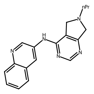 CCCN1Cc2ncnc(Nc3cnc4ccccc4c3)c2C1